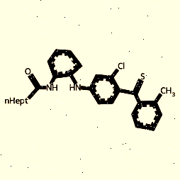 CCCCCCCC(=O)Nc1ccccc1Nc1ccc(C(=S)c2ccccc2C)c(Cl)c1